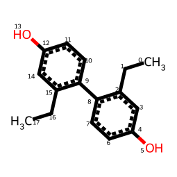 CCc1cc(O)ccc1-c1ccc(O)cc1CC